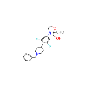 O=CC1(CO)OCCN1c1cc(F)c(C2=CCN(Cc3ccccc3)CC2)c(F)c1